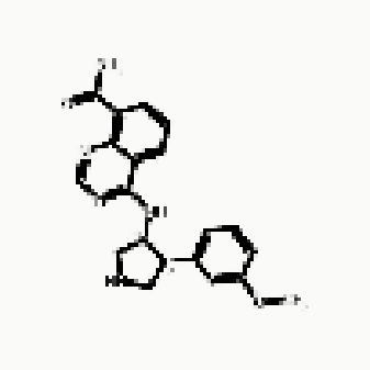 NC(=O)c1cccc2c(N[C@@H]3CNC[C@@H]3c3cccc(OC(F)(F)F)c3)ncnc12